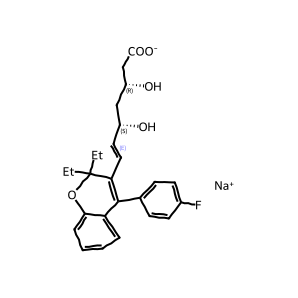 CCC1(CC)Oc2ccccc2C(c2ccc(F)cc2)=C1/C=C/[C@@H](O)C[C@@H](O)CC(=O)[O-].[Na+]